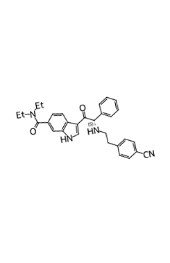 CCN(CC)C(=O)c1ccc2c(C(=O)[C@@H](NCCc3ccc(C#N)cc3)c3ccccc3)c[nH]c2c1